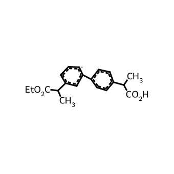 CCOC(=O)C(C)c1cc[c]c(-c2ccc(C(C)C(=O)O)cc2)c1